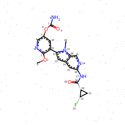 COc1ncc(OC(N)=O)cc1-c1cc2cc(NC(=O)[C@@H]3C[C@@H]3F)ncc2n1C